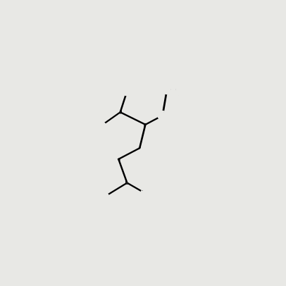 O=C(O)OC(CCC(F)F)C(F)F